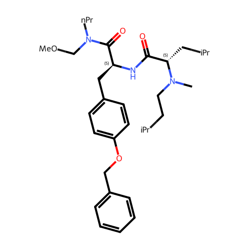 CCCN(COC)C(=O)[C@H](Cc1ccc(OCc2ccccc2)cc1)NC(=O)[C@H](CC(C)C)N(C)CCC(C)C